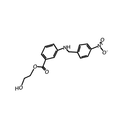 O=C(OCCO)c1cccc(NCc2ccc([N+](=O)[O-])cc2)c1